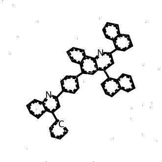 c1ccc(-c2cc(-c3ccc(-c4cc5c(-c6cccc7ccccc67)cc(-c6cccc7ccccc67)nc5c5ccccc45)cc3)nc3ccccc23)cc1